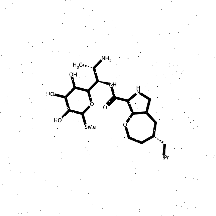 CSC1OC([C@H](NC(=O)C2NCC3C[C@H](CC(C)C)CCOC32)[C@H](C)N)C(O)C(O)C1O